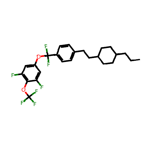 CCCC1CCC(CCc2ccc(C(F)(F)Oc3cc(F)c(OC(F)(F)F)c(F)c3)cc2)CC1